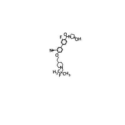 CC(C)(F)CN1CCC(CCOc2ccc(-c3ccc(C(=O)N4CC[C@H](O)C4)c(F)c3)cc2C#N)CC1